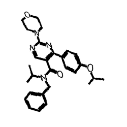 CC(C)Oc1ccc(-c2nc(N3CCOCC3)ncc2C(=O)N(Cc2ccccc2)C(C)C)cc1